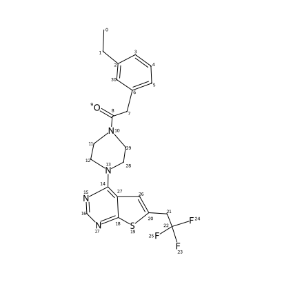 CCc1cccc(CC(=O)N2CCN(c3ncnc4sc(CC(F)(F)F)cc34)CC2)c1